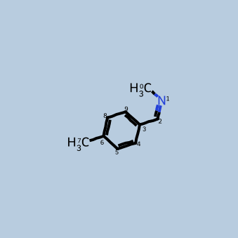 C/N=C\c1ccc(C)cc1